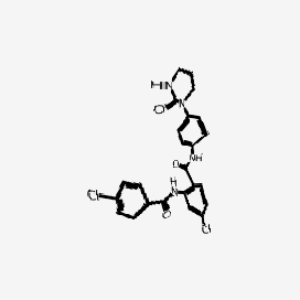 O=C(Nc1cc(Cl)ccc1C(=O)Nc1ccc(N2CCCNC2=O)cc1)c1ccc(Cl)cc1